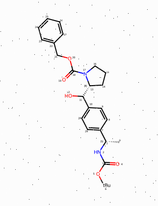 C[C@H](NC(=O)OC(C)(C)C)c1ccc(C(O)[C@H]2CCCN2C(=O)OCc2ccccc2)cc1